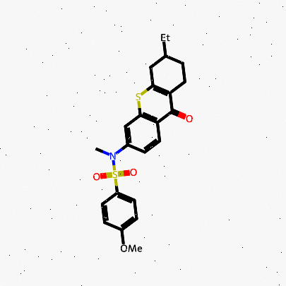 CCC1CCc2c(sc3cc(N(C)S(=O)(=O)c4ccc(OC)cc4)ccc3c2=O)C1